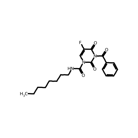 CCCCCCCCNC(=O)n1cc(F)c(=O)n(C(=O)c2ccccc2)c1=O